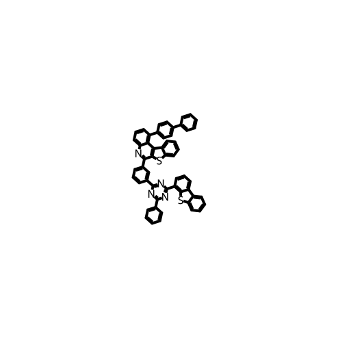 c1ccc(-c2ccc(-c3cccc4nc(-c5cccc(-c6nc(-c7ccccc7)nc(-c7cccc8c7sc7ccccc78)n6)c5)c5sc6ccccc6c5c34)cc2)cc1